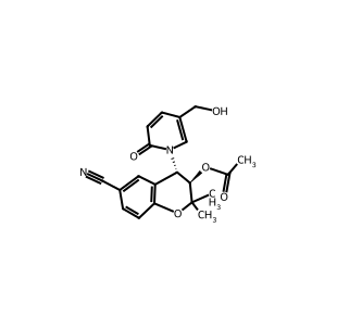 CC(=O)O[C@@H]1[C@@H](n2cc(CO)ccc2=O)c2cc(C#N)ccc2OC1(C)C